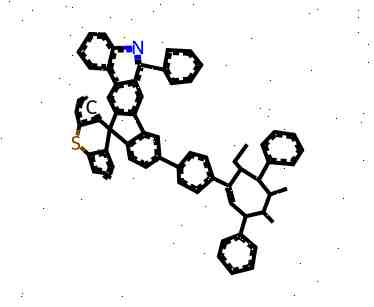 CCC1C(c2ccc(-c3ccc4c(c3)-c3cc5c(-c6ccccc6)nc6ccccc6c5cc3C43c4ccccc4Sc4ccccc43)cc2)=CC(c2ccccc2)C(C)C(C)C1c1ccccc1